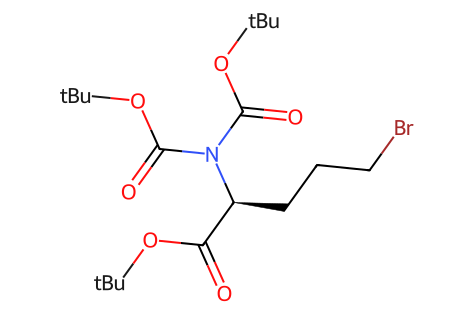 CC(C)(C)OC(=O)[C@H](CCCBr)N(C(=O)OC(C)(C)C)C(=O)OC(C)(C)C